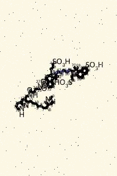 Cc1ncc([C@H](C)CCCCCCc2nc3c(cc2CNC(=O)CCCN(C)S(=O)(=O)c2cccc4c5c(ccc24)N(CCCS(=O)(=O)O)/C(=C/C=C/C=C/C2=[N+](CCS(=O)(=O)O)c4ccc6ccc(S(=O)(=O)O)cc6c4C2(C)C)C5(C)C)CCCN3)cn1